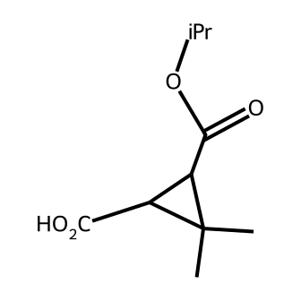 CC(C)OC(=O)C1C(C(=O)O)C1(C)C